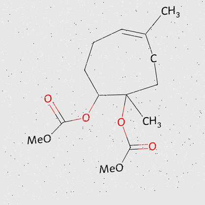 COC(=O)OC1CCC=C(C)CCC1(C)OC(=O)OC